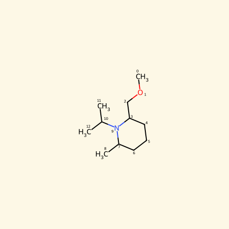 COCC1CCCC(C)N1C(C)C